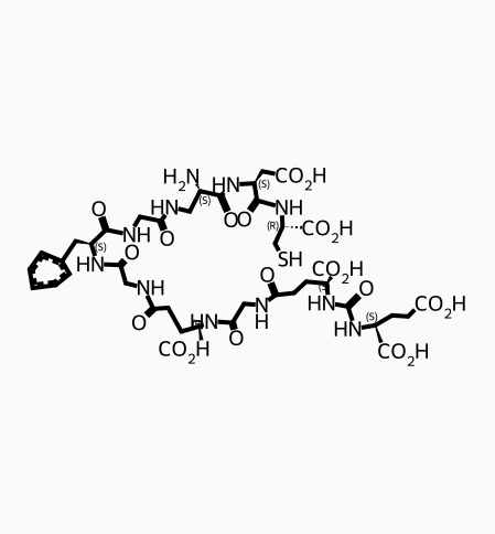 N[C@@H](CNC(=O)CNC(=O)[C@H](Cc1ccccc1)NC(=O)CNC(=O)CC[C@@H](NC(=O)CNC(=O)CC[C@H](NC(=O)N[C@@H](CCC(=O)O)C(=O)O)C(=O)O)C(=O)O)C(=O)N[C@@H](CC(=O)O)C(=O)N[C@@H](CS)C(=O)O